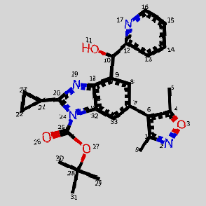 Cc1noc(C)c1-c1cc(C(O)c2ccccn2)c2nc(C3CC3)n(C(=O)OC(C)(C)C)c2c1